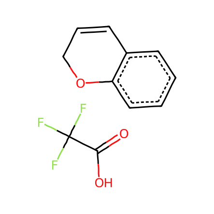 C1=Cc2ccccc2OC1.O=C(O)C(F)(F)F